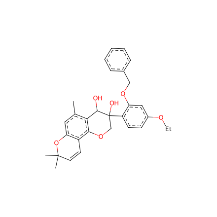 CCOc1ccc(C2(O)COc3c4c(cc(C)c3C2O)OC(C)(C)C=C4)c(OCc2ccccc2)c1